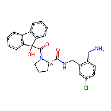 NCc1ccc(Cl)cc1CNC(=O)[C@@H]1CCCN1C(=O)C1(O)c2ccccc2-c2ccccc21